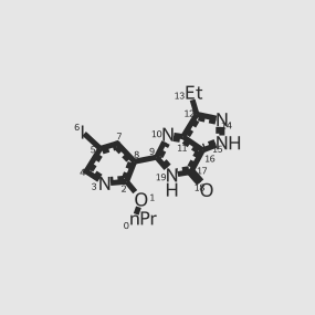 CCCOc1ncc(I)cc1-c1nc2c(CC)n[nH]c2c(=O)[nH]1